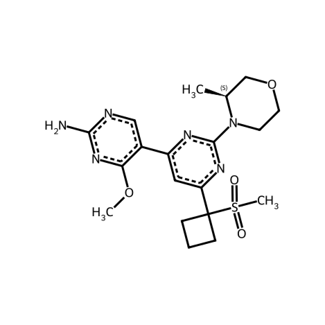 COc1nc(N)ncc1-c1cc(C2(S(C)(=O)=O)CCC2)nc(N2CCOC[C@@H]2C)n1